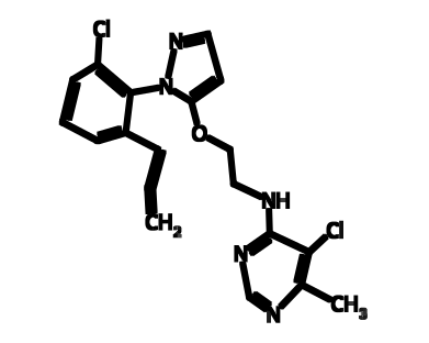 C=C=Cc1cccc(Cl)c1-n1nccc1OCCNc1ncnc(C)c1Cl